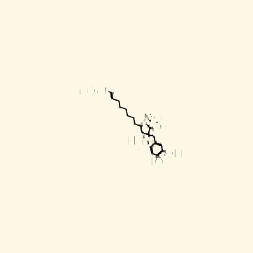 CCCCCCCCC=CCCCCCCCC[C@](N)(Cc1ccc(O)c(O)c1)C(=O)O[N+](=O)[O-]